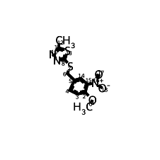 COc1ccc(CSc2nnc(C)s2)cc1[N+](=O)[O-]